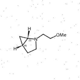 COCCN1CC[C@@H]2C[C@@H]21